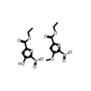 CCOC(=O)c1cc(O)c([N+](=O)[O-])s1.CCOC(=O)c1cc(OC)c([N+](=O)[O-])s1